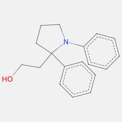 OCCC1(c2ccccc2)CCCN1c1ccccc1